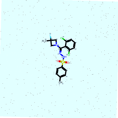 Cc1ccc(S(=O)(=O)N/N=C(\c2c(Cl)cccc2Cl)N2CC(C)(F)C2)cc1